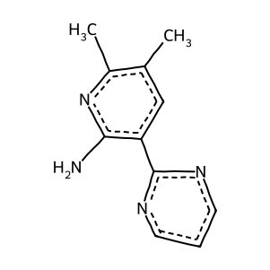 Cc1cc(-c2ncccn2)c(N)nc1C